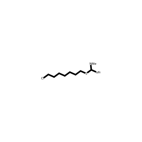 CCCC(NC)SCCCCCCCCl